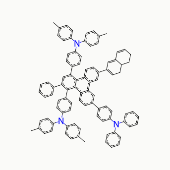 Cc1ccc(N(c2ccc(C)cc2)c2ccc(-c3cc(-c4ccccc4)c(-c4ccc(N(c5ccc(C)cc5)c5ccc(C)cc5)cc4)c4c5ccc(-c6ccc(N(c7ccccc7)c7ccccc7)cc6)cc5c5cc(C6=CCC7CCC=CC7=C6)ccc5c34)cc2)cc1